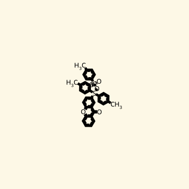 Cc1ccc(S(OS(=O)(=O)c2ccc(C)cc2)(c2ccc(C)cc2)c2ccc3oc4ccccc4c(=O)c3c2)cc1